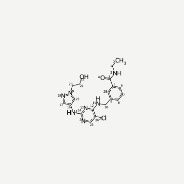 CCNC(=O)c1cccc(CNc2nc(Nc3cnn(CCO)c3)ncc2Cl)c1